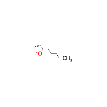 CCCCCC1C=CCO1